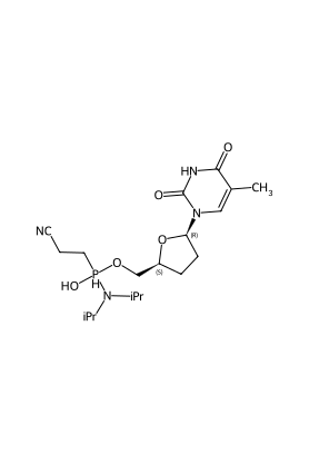 Cc1cn([C@H]2CC[C@@H](CO[PH](O)(CCC#N)N(C(C)C)C(C)C)O2)c(=O)[nH]c1=O